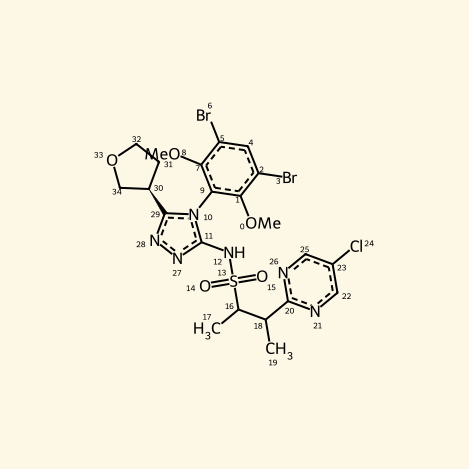 COc1c(Br)cc(Br)c(OC)c1-n1c(NS(=O)(=O)C(C)C(C)c2ncc(Cl)cn2)nnc1[C@@H]1CCOC1